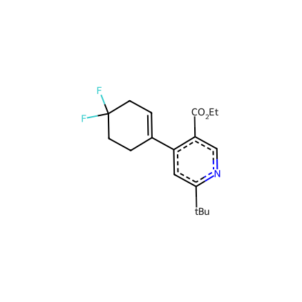 CCOC(=O)c1cnc(C(C)(C)C)cc1C1=CCC(F)(F)CC1